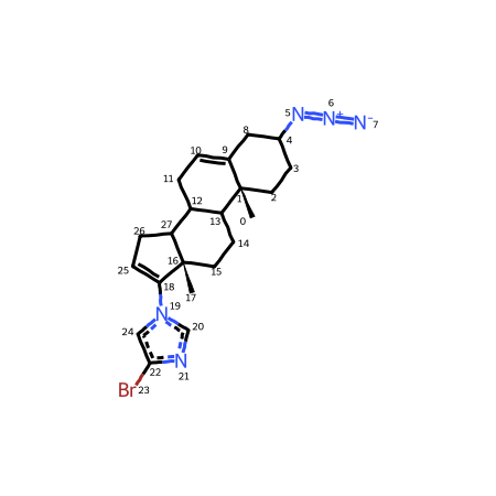 C[C@]12CCC(N=[N+]=[N-])CC1=CCC1C2CC[C@]2(C)C(n3cnc(Br)c3)=CCC12